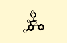 O=C(C(=S)N1CCOCC1)c1cc(Cl)ccc1Oc1ccccc1